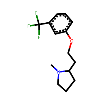 CN1CCCC1CCOc1cccc(C(F)(F)F)c1